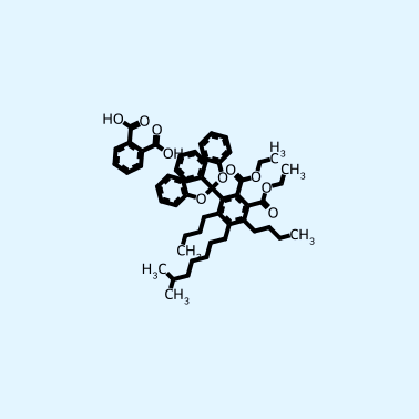 CCCCc1c(CCCCCC(C)C)c(CCCC)c(C(Oc2ccccc2)(Oc2ccccc2)c2ccccc2)c(C(=O)OCC)c1C(=O)OCC.O=C(O)c1ccccc1C(=O)O